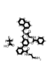 NCCNC(=O)c1ccccc1-c1cccc(CN(Cc2cccc3ccccc23)C(=O)CNC(=O)c2ccccc2)c1.O=C(O)C(F)(F)F